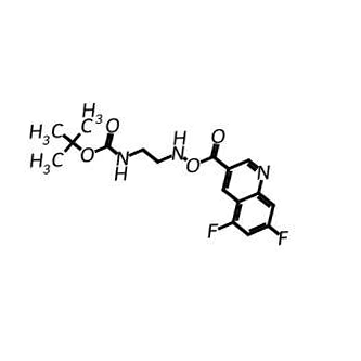 CC(C)(C)OC(=O)NCCNOC(=O)c1cnc2cc(F)cc(F)c2c1